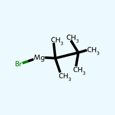 CC(C)(C)[C](C)(C)[Mg][Br]